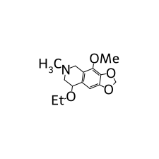 CCOC1CN(C)Cc2c1cc1c(c2OC)OCO1